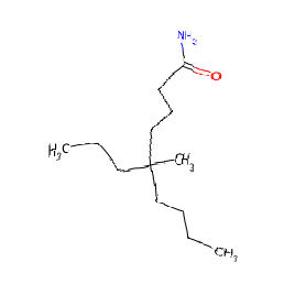 CCCCC(C)(CCC)CCCC(N)=O